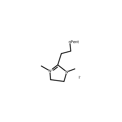 CCCCCCCC1=[N+](C)CCN1C.[I-]